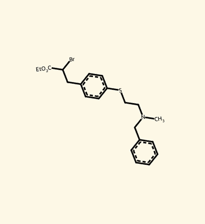 CCOC(=O)C(Br)Cc1ccc(SCCN(C)Cc2ccccc2)cc1